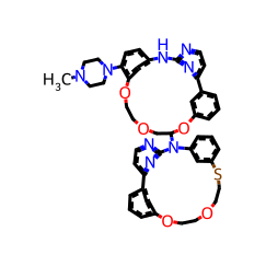 CN1CCN(c2ccc3cc2OCCOCC(N2c4cccc(c4)SCCOCCOc4cccc(c4)-c4ccnc2n4)Oc2cccc(c2)-c2ccnc(n2)N3)CC1